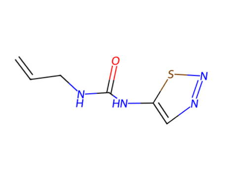 C=CCNC(=O)Nc1cnns1